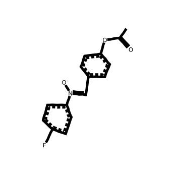 CC(=O)Oc1ccc(/C=[N+](\[O-])c2ccc(F)cc2)cc1